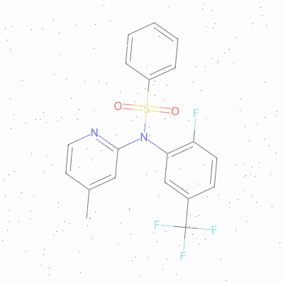 [CH2]c1ccnc(N(c2cc(C(F)(F)F)ccc2F)S(=O)(=O)c2ccccc2)c1